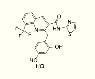 Cl.O=C(Nc1nccs1)c1cc2cccc(C(F)(F)F)c2nc1Cc1ccc(O)cc1O